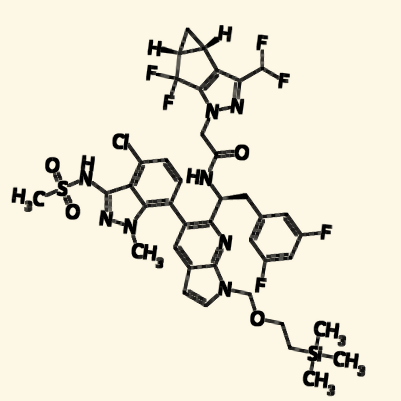 Cn1nc(NS(C)(=O)=O)c2c(Cl)ccc(-c3cc4ccn(COCC[Si](C)(C)C)c4nc3[C@H](Cc3cc(F)cc(F)c3)NC(=O)Cn3nc(C(F)F)c4c3C(F)(F)[C@@H]3C[C@H]43)c21